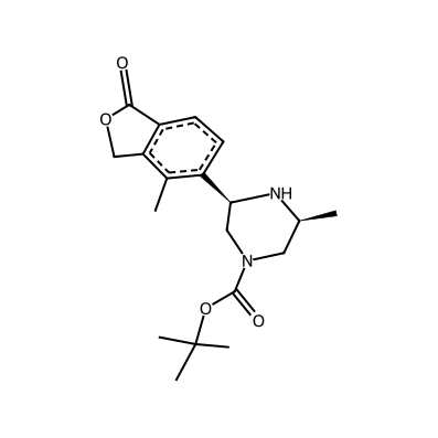 Cc1c([C@@H]2CN(C(=O)OC(C)(C)C)C[C@H](C)N2)ccc2c1COC2=O